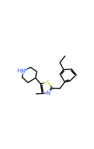 CCc1cccc(Cc2nc(C)c(C3CCNCC3)s2)c1